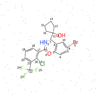 O=C(N[C@@H](c1cccc(Br)c1)C1(O)CCCC1)c1cccc(C(F)(F)F)c1Cl